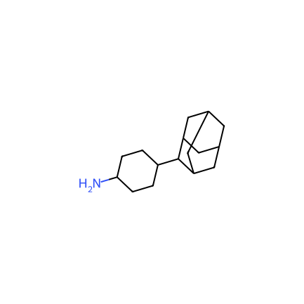 NC1CCC(C2C3CC4CC(C3)CC2C4)CC1